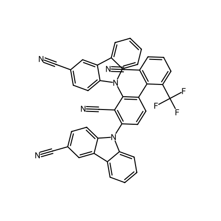 N#Cc1ccc2c(c1)c1ccccc1n2-c1ccc(-c2c(C#N)cccc2C(F)(F)F)c(-n2c3ccccc3c3cc(C#N)ccc32)c1C#N